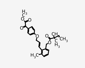 CCC(C)(C)C(=O)OCc1cccc(C)c1C=CCOc1ccc(C(=O)C(=O)OC)cc1